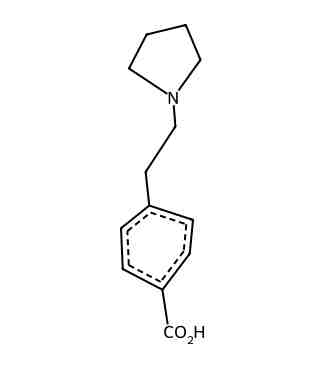 O=C(O)c1ccc(CCN2CCCC2)cc1